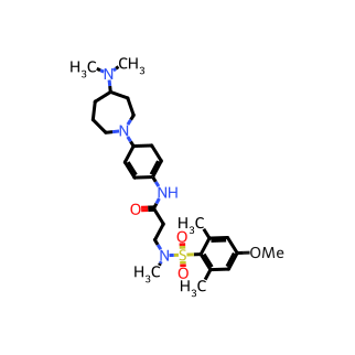 COc1cc(C)c(S(=O)(=O)N(C)CCC(=O)NC2=CCC(N3CCCC(N(C)C)CC3)C=C2)c(C)c1